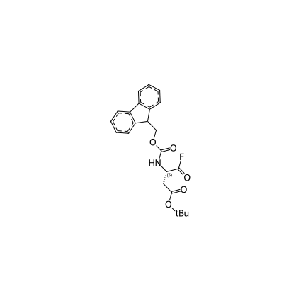 CC(C)(C)OC(=O)C[C@H](NC(=O)OCC1c2ccccc2-c2ccccc21)C(=O)F